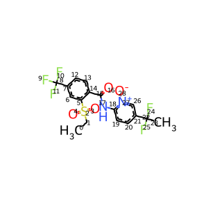 CCS(=O)(=O)c1cc(C(F)(F)F)ccc1C(=O)Nc1ccc(C(C)(F)F)c[n+]1[O-]